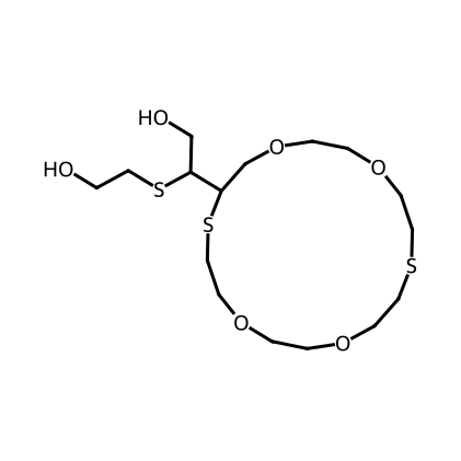 OCCSC(CO)C1COCCOCCSCCOCCOCCS1